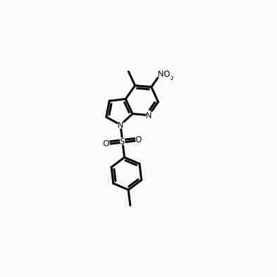 Cc1ccc(S(=O)(=O)n2ccc3c(C)c([N+](=O)[O-])cnc32)cc1